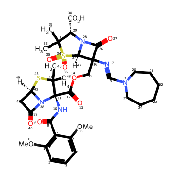 COc1cccc(OC)c1C(=O)N[C@@]1(C(=O)OCC2(/N=C/N3CCCCCC3)C(=O)N3[C@@H](C(=O)O)C(C)(C)S(=O)(=O)[C@@H]32)N2C(=O)C[C@H]2SC1(C)C